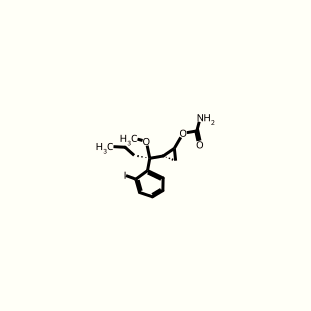 CCC[C@@](OC)(c1ccccc1I)[C@H]1CC1OC(N)=O